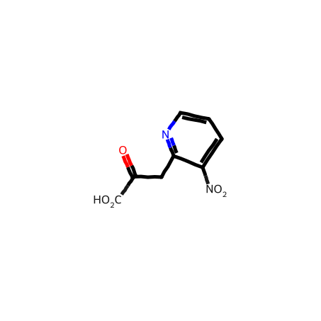 O=C(O)C(=O)Cc1ncccc1[N+](=O)[O-]